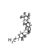 CCCc1ccc(CCC(F)(F)Oc2ccc(-c3cc(F)c(F)c(F)c3)c(F)c2)c(F)c1F